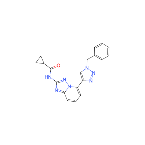 O=C(Nc1nc2cccc(-c3cn(Cc4ccccc4)nn3)n2n1)C1CC1